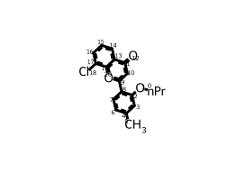 CCCOc1cc(C)ccc1-c1cc(=O)c2cccc(Cl)c2o1